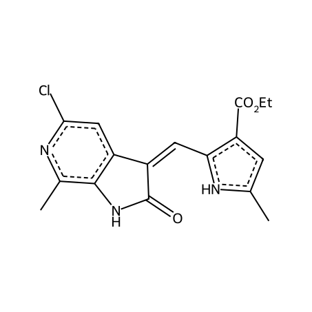 CCOC(=O)c1cc(C)[nH]c1/C=C1\C(=O)Nc2c1cc(Cl)nc2C